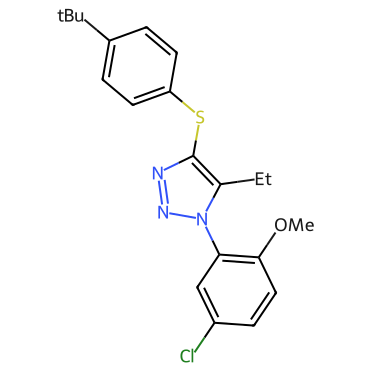 CCc1c(Sc2ccc(C(C)(C)C)cc2)nnn1-c1cc(Cl)ccc1OC